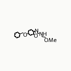 COCCNc1nc2ccc(OCc3ccccc3)cc2o1